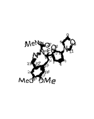 CCC1(C2=CC=CC(N3CCOC3)C2=O)Cc2cc(OC)c(OC)cc2C=NN1C(=O)NC